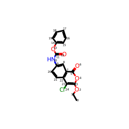 CCOc1oc(=O)c2cc(NC(=O)Oc3ccccc3)ccc2c1Cl